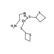 C1CC([S][Zn][S]C2CCS2)S1.NCCN